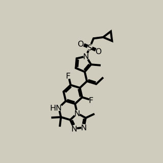 C/C=C(\c1ccn(S(=O)(=O)CC2CC2)c1C)c1c(F)cc2c(c1F)-n1c(C)nnc1C(C)(C)N2